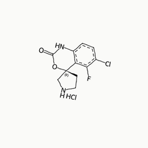 Cl.O=C1Nc2ccc(Cl)c(F)c2[C@@]2(CCNC2)O1